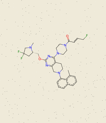 Cc1cccc2cccc(N3CCc4c(nc(OC[C@@H]5CC(F)(F)CN5C)nc4N4CCN(C(=O)/C=C/CF)CC4)C3)c12